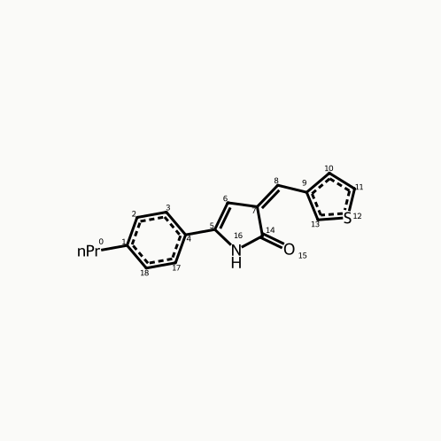 CCCc1ccc(C2=CC(=Cc3ccsc3)C(=O)N2)cc1